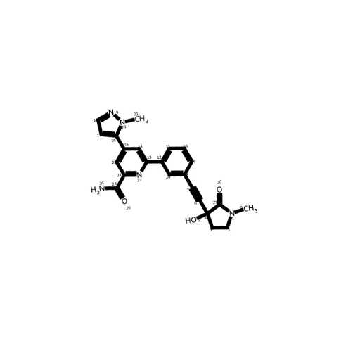 CN1CCC(O)(C#Cc2cccc(-c3cc(-c4ccnn4C)cc(C(N)=O)n3)c2)C1=O